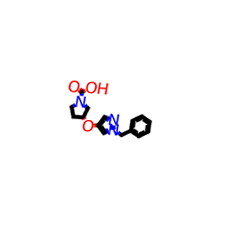 O=C(O)N1CCC(Oc2cnn(Cc3ccccc3)c2)C1